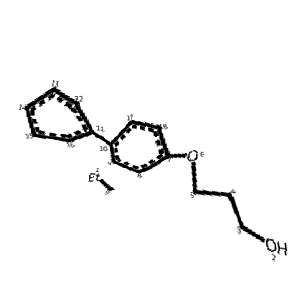 CCC.OCCCOc1ccc(-c2ccccc2)cc1